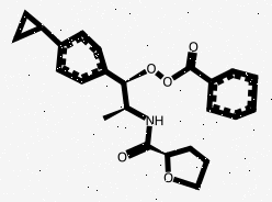 C[C@H](NC(=O)[C@H]1CCCO1)[C@H](OOC(=O)c1ccccc1)c1ccc(C2CC2)cc1